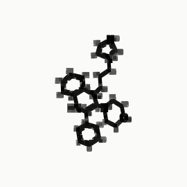 c1ccc(C2=C(N3CCOCC3)N(CCCn3ccnc3)c3ccccc3N2)cc1